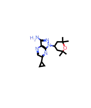 CC1(C)CC(n2nc(N)c3ncc(C4CC4)nc32)CC(C)(C)O1